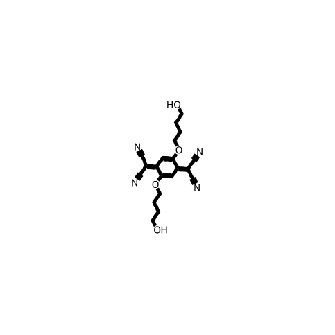 N#CC(C#N)=c1cc(OCCCCO)c(=C(C#N)C#N)cc1OCCCCO